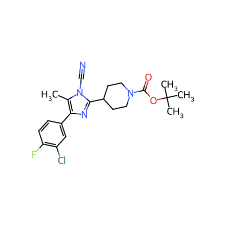 Cc1c(-c2ccc(F)c(Cl)c2)nc(C2CCN(C(=O)OC(C)(C)C)CC2)n1C#N